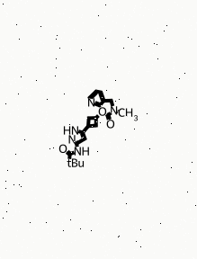 CN(Cc1cccnc1)C(=O)OC1CC(c2cc(NC(=O)C(C)(C)C)n[nH]2)C1